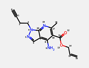 C#CCCn1ncc2c(N)c(C(=O)OCC=C)c(C)nc21